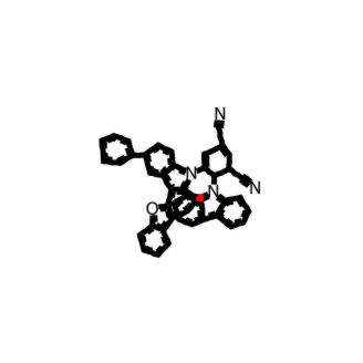 N#CC1=CC(C#N)C(n2c3ccccc3c3ccccc32)C(n2c3ccc(-c4ccccc4)cc3c3c4oc5ccccc5c4ccc32)=C1